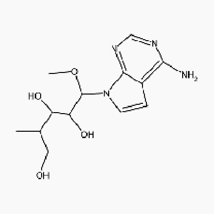 COC(C(O)C(O)C(C)CO)n1ccc2c(N)ncnc21